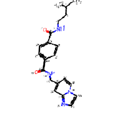 CC(C)CCNC(=O)c1ccc(C(=O)NCc2ccn3ccnc3c2)cc1